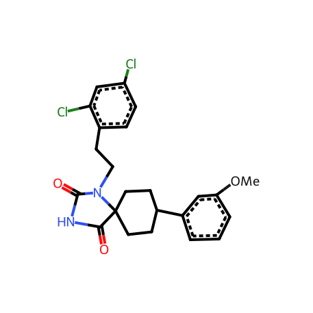 COc1cccc(C2CCC3(CC2)C(=O)NC(=O)N3CCc2ccc(Cl)cc2Cl)c1